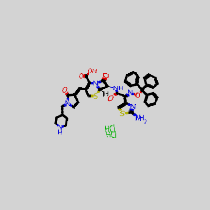 Cl.Cl.Nc1nc(C(=NOC(c2ccccc2)(c2ccccc2)c2ccccc2)C(=O)N[C@@H]2C(=O)N3C(C(=O)O)=C(C=C4CCN(CC5CCNCC5)C4=O)CS[C@H]23)cs1